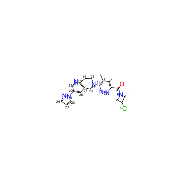 Cc1cc(C(=O)N2CC(Cl)C2)nnc1N1CCc2ncc(-n3cccn3)cc2C1